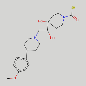 COc1ccc(C2CCN(CC(O)C3(O)CCN(C(=O)S)CC3)CC2)cc1